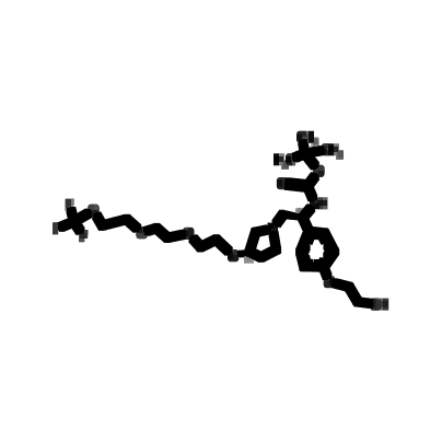 CC(C)(C)OC(=O)N[C@H](CN1CC[C@H](OCCOCCOCCOC(F)(F)F)C1)c1ccc(OCCO)cc1